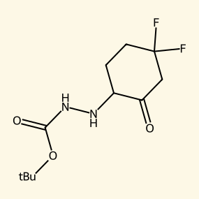 CC(C)(C)OC(=O)NNC1CCC(F)(F)CC1=O